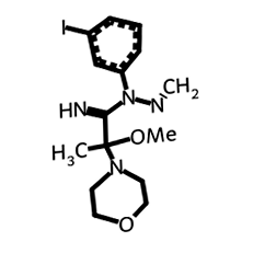 C=NN(C(=N)C(C)(OC)N1CCOCC1)c1cccc(I)c1